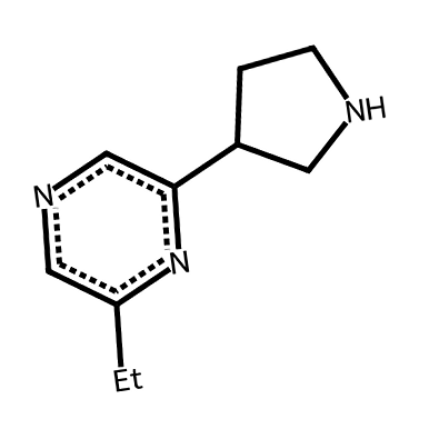 CCc1cncc(C2CCNC2)n1